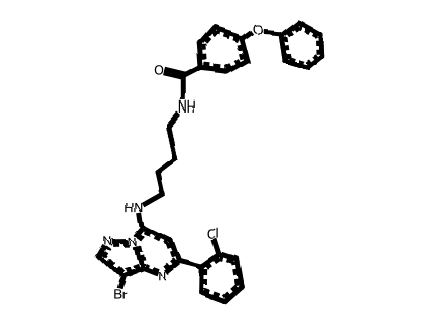 O=C(NCCCCNc1cc(-c2ccccc2Cl)nc2c(Br)cnn12)c1ccc(Oc2ccccc2)cc1